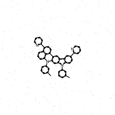 Cc1cccc(N2c3cc4c(cc3-c3ccc(-c5ccccn5)c5cccc2c35)c2cc(-c3ccccn3)ccc2n4-c2cccc(C)c2)c1